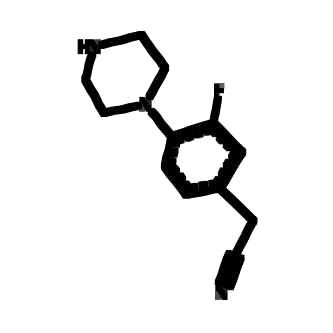 N#CCc1ccc(N2CCNCC2)c(F)c1